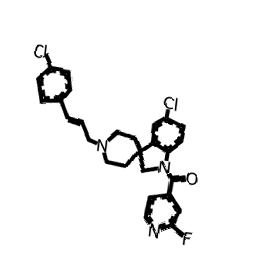 O=C(c1ccnc(F)c1)N1CC2(CCN(C/C=C/c3ccc(Cl)cc3)CC2)c2cc(Cl)ccc21